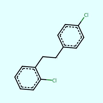 Clc1ccc([CH]Cc2ccccc2Cl)cc1